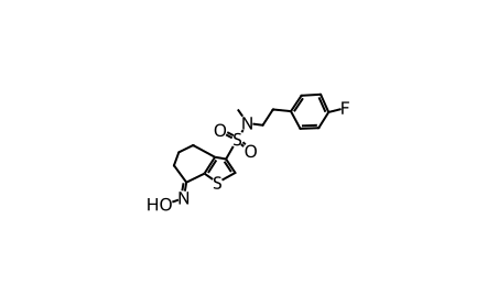 CN(CCc1ccc(F)cc1)S(=O)(=O)c1csc2c1CCC/C2=N\O